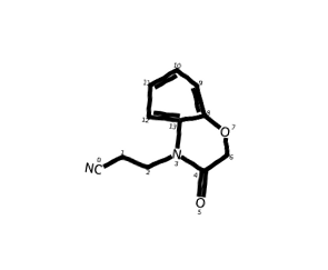 N#CCCN1C(=O)COc2ccccc21